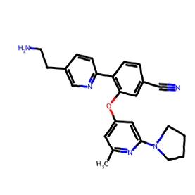 Cc1cc(Oc2cc(C#N)ccc2-c2ccc(CCN)cn2)cc(N2CCCC2)n1